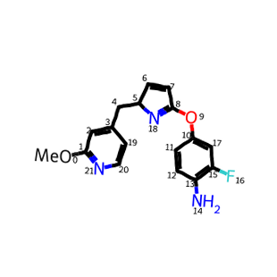 COc1cc(CC2C=CC(Oc3ccc(N)c(F)c3)=N2)ccn1